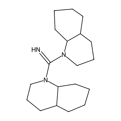 N=C(N1CCCC2CCCCC21)N1CCCC2CCCCC21